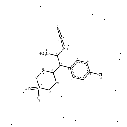 [N-]=[N+]=NC(C(=O)O)C(c1ccc(Cl)cc1)C1CCS(=O)(=O)CC1